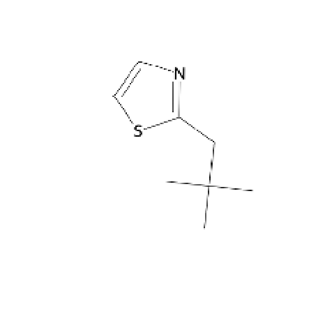 CC(C)(C)Cc1nccs1